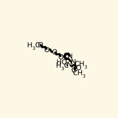 COCCOCCOCCOc1ccnc(C2=N[C@@](C)(C(=O)OC)CN2C)c1O